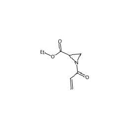 C=CC(=O)N1CC1C(=O)OCC